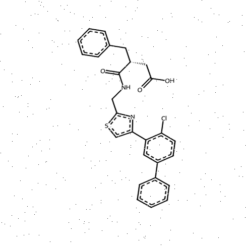 O=C(O)C[C@@H](Cc1ccccc1)C(=O)NCc1nc(-c2cc(-c3ccccc3)ccc2Cl)cs1